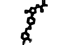 CNC(=O)OC1CC(=O)N(c2ccc(OCc3ccc(F)c(F)c3)cc2)C1